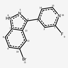 Fc1cc(-c2n[nH]c3ccc(Br)cc23)ccn1